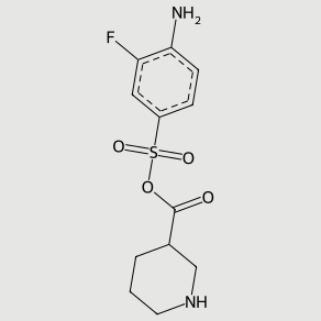 Nc1ccc(S(=O)(=O)OC(=O)C2CCCNC2)cc1F